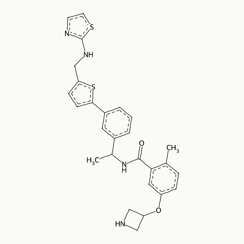 Cc1ccc(OC2CNC2)cc1C(=O)NC(C)c1cccc(-c2ccc(CNc3nccs3)s2)c1